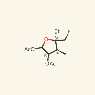 CC[C@@]1(CF)OC(OC(C)=O)[C@H](OC(C)=O)[C@@H]1C